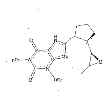 CCCn1c(=O)c2[nH]c(C3CCC[C@H]3[C@H]3OC3C)nc2n(CCC)c1=O